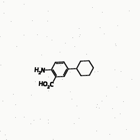 Nc1ccc(C2CCCCC2)cc1C(=O)O